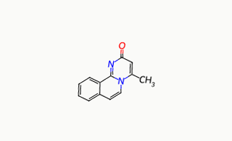 Cc1cc(=O)nc2c3ccccc3ccn12